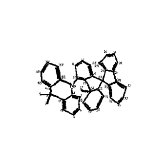 CC1(C)c2ccccc2N(c2cccc3c2C2(C)C=CC=CC2C32c3ccccc3-c3ccccc32)c2ccccc21